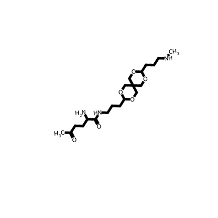 CNCCCC1OCC2(CO1)COC(CCCNC(=O)C(N)CCC(C)=O)OC2